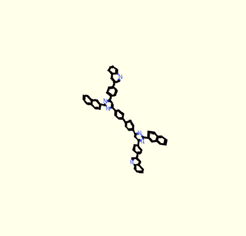 c1ccc2cc(-c3nc(-c4ccc(-c5ccc(-c6cc(-c7ccc(-c8cnc9ccccc9c8)cc7)nc(-c7ccc8ccccc8c7)n6)cc5)cc4)cc(-c4ccc(-c5cnc6ccccc6c5)cc4)n3)ccc2c1